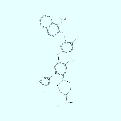 COc1nc(N2CCC(N(C)C)CC2)c(-c2cn(C)cn2)cc1Nc1ncc(Br)c(Nc2ccc3nccnc3c2P(C)(C)=O)n1